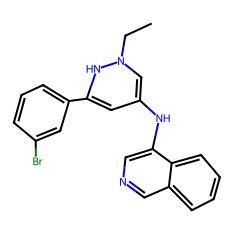 CCN1C=C(Nc2cncc3ccccc23)C=C(c2cccc(Br)c2)N1